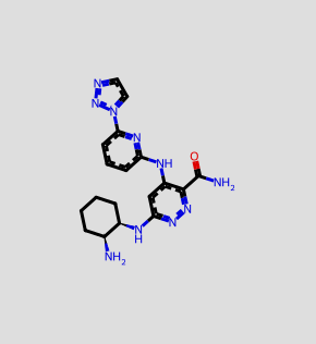 NC(=O)c1nnc(N[C@@H]2CCCC[C@@H]2N)cc1Nc1cccc(-n2ccnn2)n1